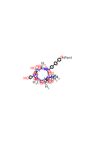 CC(=O)[O-].CCCCCOc1ccc(-c2ccc(-c3ccc(C(=O)N[C@H]4C[C@@H](O)[C@@H](OC(C)[N+](C)(C)C)NC(=O)[C@@H]5[C@@H](O)[C@@H](C)CN5C(=O)[C@H]([C@@H](C)O)NC(=O)C([C@H](O)[C@@H](O)c5ccc(O)cc5)NC(=O)[C@@H]5C[C@@H](O)CN5C(=O)C([C@@H](C)O)NC4=O)cc3)cc2)cc1